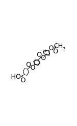 CC(=O)Oc1ccc(OC(=O)c2ccc(OC(=O)C3CCC(C(=O)O)CC3)cc2)cc1